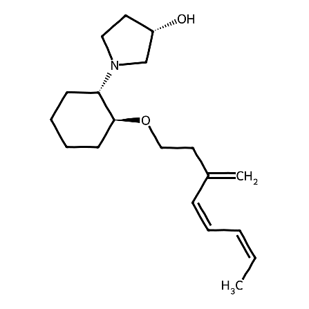 C=C(/C=C\C=C/C)CCO[C@H]1CCCC[C@@H]1N1CC[C@H](O)C1